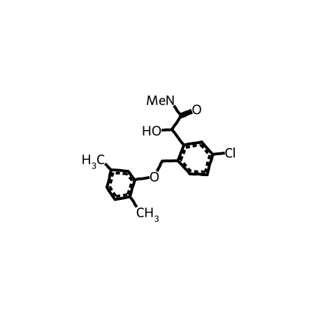 CNC(=O)C(O)c1cc(Cl)ccc1COc1cc(C)ccc1C